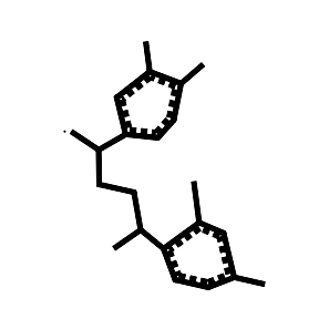 [CH2]C(CCC(C)c1ccc(C)cc1C)c1ccc(C)c(C)c1